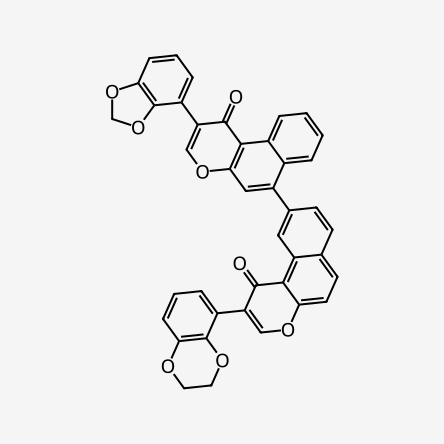 O=c1c(-c2cccc3c2OCCO3)coc2ccc3ccc(-c4cc5occ(-c6cccc7c6OCO7)c(=O)c5c5ccccc45)cc3c12